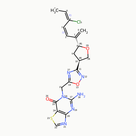 C=C(/C=C\C(Cl)=C/C)[C@H]1C[C@H](c2noc(Cn3c(N)nc4ncsc4c3=O)n2)CO1